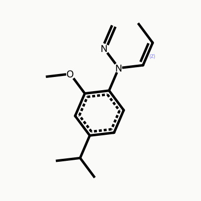 C=NN(/C=C\C)c1ccc(C(C)C)cc1OC